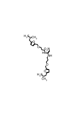 CN(C)Cc1ccc(COCCCNC(=C[N+](=O)[O-])NCCCOCc2ccc(CN(C)C)o2)o1